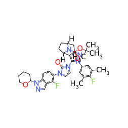 Cc1cc(-n2nc3c(c2-n2ccn(-c4ccc5c(cnn5C5CCCCO5)c4F)c2=O)[C@@H]2CC[C@H](C3)N2C(=O)OC(C)(C)C)cc(C)c1F